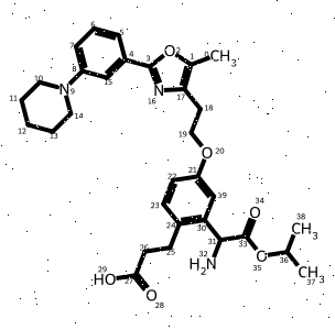 Cc1oc(-c2cccc(N3CCCCC3)c2)nc1CCOc1ccc(CCC(=O)O)c(C(N)C(=O)OC(C)C)c1